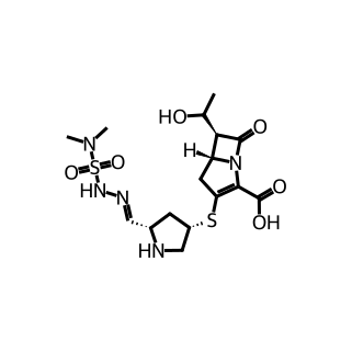 CC(O)[C@H]1C(=O)N2C(C(=O)O)=C(S[C@@H]3CN[C@H](C=NNS(=O)(=O)N(C)C)C3)C[C@H]12